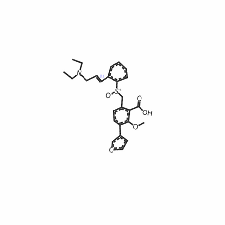 CCN(CC)C/C=C/c1ccccc1[S+]([O-])Cc1ccc(-c2ccoc2)c(OC)c1C(=O)O